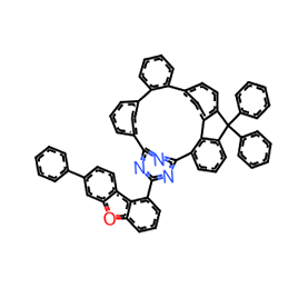 c1ccc(-c2ccc3c(c2)oc2cccc(-c4nc5nc(n4)-c4cccc6c4-c4cc(ccc4C6(c4ccccc4)c4ccccc4)-c4ccccc4-c4cccc-5c4)c23)cc1